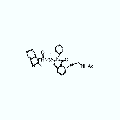 CC(=O)NCC#Cc1cccc2cc([C@@H](C)NC(=O)c3c(C)ncc4cccnc34)n(-c3ccccc3)c(=O)c12